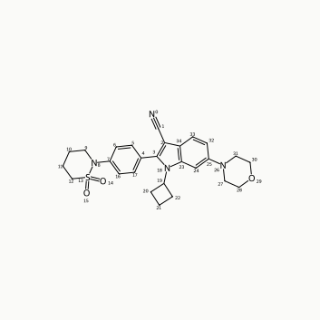 N#Cc1c(-c2ccc(N3CCCCS3(=O)=O)cc2)n(C2CCC2)c2cc(N3CCOCC3)ccc12